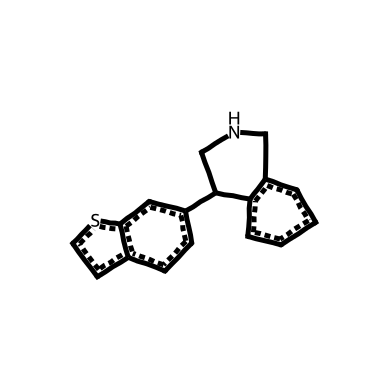 c1ccc2c(c1)CNCC2c1ccc2ccsc2c1